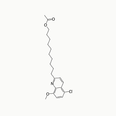 COc1ccc(Cl)c2ccc(CCCCCCCCCCOC(C)=O)nc12